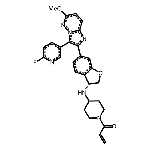 C=CC(=O)N1CCC(N[C@H]2COc3cc(-c4nc5ccc(OC)nn5c4-c4ccc(F)nc4)ccc32)CC1